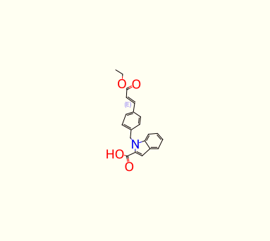 CCOC(=O)/C=C/c1ccc(Cn2c(C(=O)O)cc3ccccc32)cc1